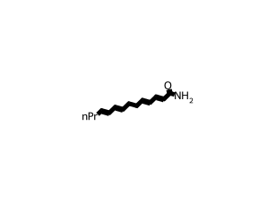 CCCC=CC=CCCC=CC=CC(N)=O